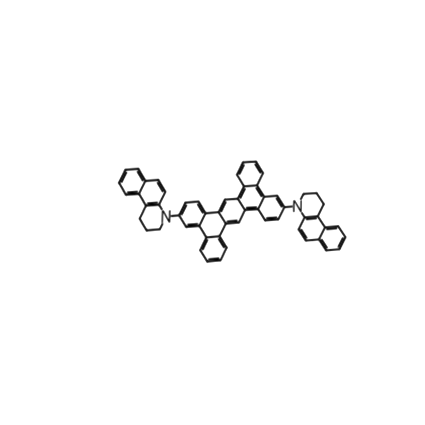 c1ccc2c3c(ccc2c1)N(c1ccc2c(c1)c1ccccc1c1cc4c5ccc(N6CCCc7c6ccc6ccccc76)cc5c5ccccc5c4cc21)CCC3